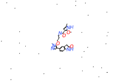 COc1[nH]c(C)cc1C(=O)N(C)CCCOc1c(-c2ccc3c(c2)CC(=O)N3)cnn1C